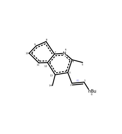 CCCC/C=C/c1c(C)nc2ccccc2c1C